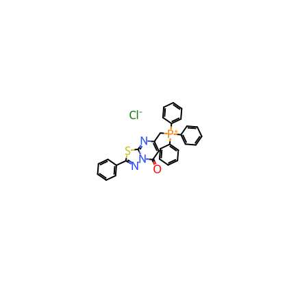 O=c1cc(C[P+](c2ccccc2)(c2ccccc2)c2ccccc2)nc2sc(-c3ccccc3)nn12.[Cl-]